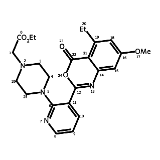 CCOC(=O)CN1CCN(c2ncccc2-c2nc3cc(OC)cc(CC)c3c(=O)o2)CC1